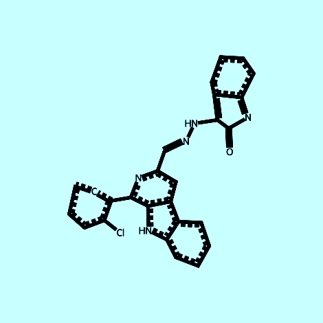 O=C1N=c2ccccc2=C1N/N=C/c1cc2c([nH]c3ccccc32)c(-c2ccccc2Cl)n1